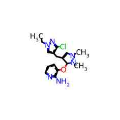 CCn1cc(CC2=CN(C)N(C)C2Oc2cccnc2N)c(Cl)n1